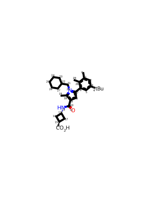 Cc1cc(C(C)(C)C)cc(-c2cc(C(=O)N[C@H]3C[C@H](C(=O)O)C3)c(C)n2CC2CCCCC2)c1C